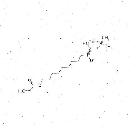 C=CC(=O)OCCCCCCCCC/[P+]([O-])=C(\O)C[N+](C)(C)C